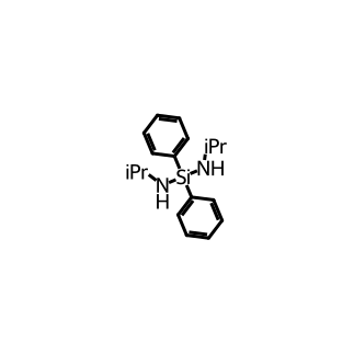 CC(C)N[Si](NC(C)C)(c1ccccc1)c1ccccc1